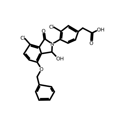 O=C(O)Cc1ccc(N2C(=O)c3c(Cl)ccc(OCc4ccccc4)c3C2O)c(Cl)c1